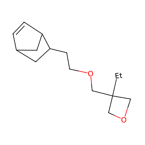 CCC1(COCCC2CC3C=CC2C3)COC1